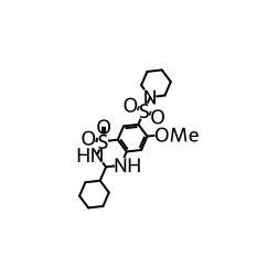 COc1cc2c(cc1S(=O)(=O)N1CCCCC1)S(=O)(=O)NC(C1CCCCC1)N2